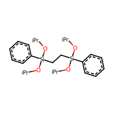 CC(C)O[Si](CC[Si](OC(C)C)(OC(C)C)c1ccccc1)(OC(C)C)c1ccccc1